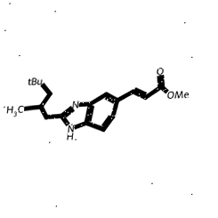 COC(=O)/C=C/c1ccc2[nH]c(CC(C)CC(C)(C)C)nc2c1